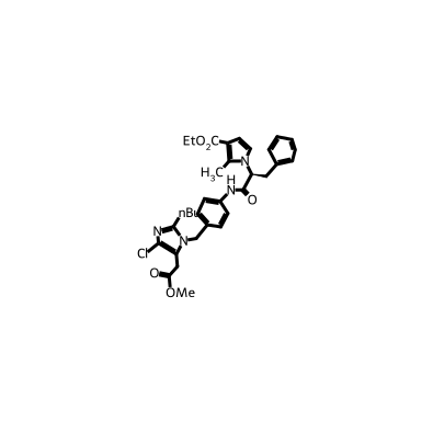 CCCCc1nc(Cl)c(CC(=O)OC)n1Cc1ccc(NC(=O)[C@H](Cc2ccccc2)n2ccc(C(=O)OCC)c2C)cc1